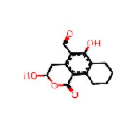 O=Cc1c(O)c2c(c3c1CC(O)OC3=O)CCCC2